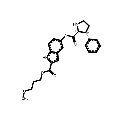 COCCCOC(=O)c1cc2cc(NC(=O)[C@H]3NCC[C@@H]3c3ccccc3)ccc2[nH]1